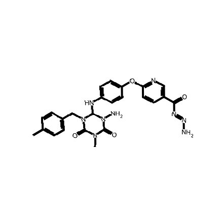 Cc1ccc(CN2C(=O)N(C)C(=O)N(N)C2Nc2ccc(Oc3ccc(C(=O)N=NN)cn3)cc2)cc1